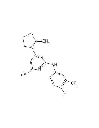 CCCc1cc(N2CCC[C@H]2C)nc(Nc2ccc(F)c(C(F)(F)F)c2)n1